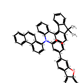 CC1(C)c2ccccc2-c2c(-c3ccccc3N(c3cccc(-c4ccc5c(c4)oc4ccccc45)c3)c3cccc4c3ccc3ccccc34)cccc21